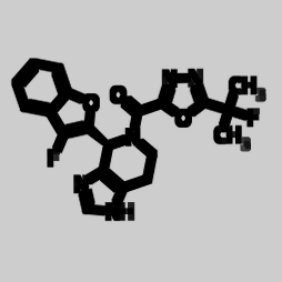 CC(C)(F)c1nnc(C(=O)N2CCc3[nH]cnc3[C@H]2c2oc3ccccc3c2F)o1